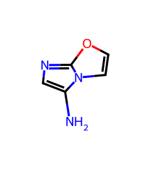 Nc1cnc2occn12